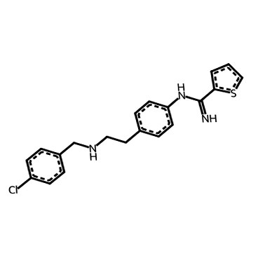 N=C(Nc1ccc(CCNCc2ccc(Cl)cc2)cc1)c1cccs1